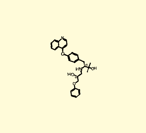 CC(C)(O)[C@H](Cc1ccc(Oc2ccnc3ccccc23)cc1)NC[C@H](O)COc1ccccc1